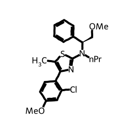 CCCN(c1nc(-c2ccc(OC)cc2Cl)c(C)s1)[C@H](COC)c1ccccc1